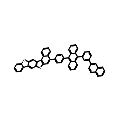 c1cc(-c2ccc3ccccc3c2)cc(-c2c3ccccc3c(-c3ccc(-c4cc5sc6cc7c(cc6c5c5ccccc45)oc4ccccc47)cc3)c3ccccc23)c1